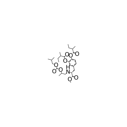 CCC(C)C(=O)Oc1ccc(C[C@H](NCC(C)OC(=O)OCC(C)C)C(=O)OC)cc1OC(=O)C(C)CC